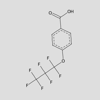 O=C(O)c1ccc(OC(F)(F)C(F)(F)C(F)(F)F)cc1